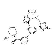 CCCC1CCCCN1C(=O)c1cccc(-c2cccc(-n3ncc(C(=O)O)c3C3CC3c3cn(C)nn3)c2)c1